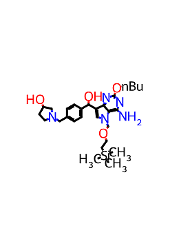 CCCCOc1nc(N)c2c(n1)c(C(O)c1ccc(CN3CCC(O)C3)cc1)cn2COCC[Si](C)(C)C